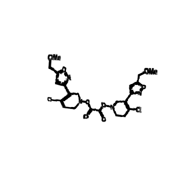 COCc1cc(C2=C(Cl)CCN(OC(=O)C(=O)ON3CCC(Cl)=C(c4cc(COC)on4)C3)C2)no1